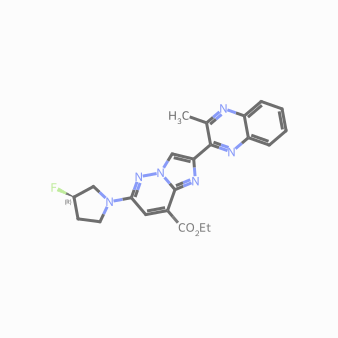 CCOC(=O)c1cc(N2CC[C@@H](F)C2)nn2cc(-c3nc4ccccc4nc3C)nc12